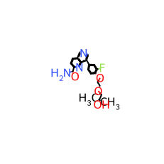 CC(C)(O)COCCOc1ccc(-c2cncc3ccc(C(N)=O)nc23)cc1F